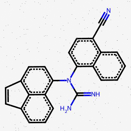 N#Cc1ccc(N(C(=N)N)c2ccc3c4c(cccc24)C=C3)c2ccccc12